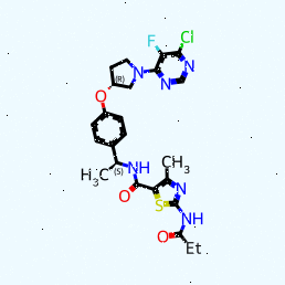 CCC(=O)Nc1nc(C)c(C(=O)N[C@@H](C)c2ccc(O[C@@H]3CCN(c4ncnc(Cl)c4F)C3)cc2)s1